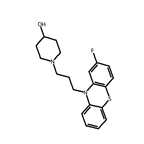 OC1CCN(CCCN2c3ccccc3Sc3ccc(F)cc32)CC1